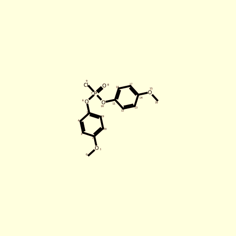 COc1ccc(OP(=O)(Cl)Oc2ccc(OC)cc2)cc1